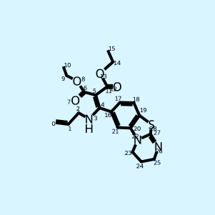 C=CCNC(=C(C(=O)OCC)C(=O)OCC)c1ccc2c(c1)N1CCCN=C1S2